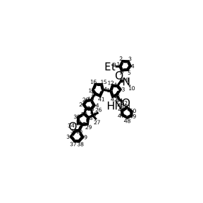 CCc1ccccc1O/C(=N/C)c1cc(-c2cccc(-c3ccc4c(c3)C(C)(C)c3cc5c(cc3-4)oc3ccccc35)c2)cc(C2Nc3ccccc3O2)c1